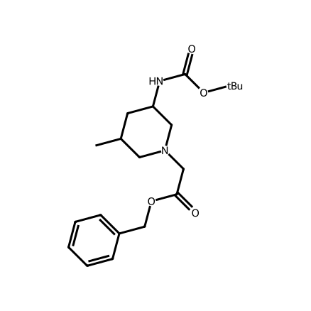 CC1CC(NC(=O)OC(C)(C)C)CN(CC(=O)OCc2ccccc2)C1